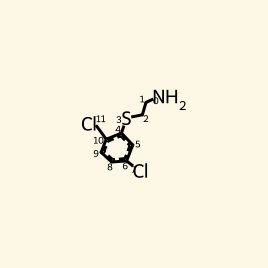 NCCSc1cc(Cl)ccc1Cl